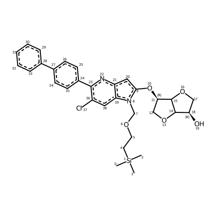 C[Si](C)(C)CCOCn1c(O[C@@H]2COC3C2OC[C@H]3O)cc2nc(-c3ccc(-c4ccccc4)cc3)c(Cl)cc21